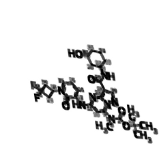 CN(C(=O)OC(C)(C)C)c1cc(Nc2cccn(C3CC(F)(F)C3)c2=O)nc2c(C(=O)N[C@@H]3CCC[C@@H](O)C3)cnn12